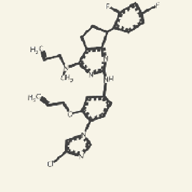 C=CCOc1cc(Nc2nc3c(c(N(C)CC=C)n2)CCC3c2ccc(F)cc2F)ccc1-n1cnc(Cl)c1